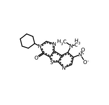 CN(C)c1c([N+](=O)[O-])cnc2sc3c(=O)n(C4CCCCC4)cnc3c12